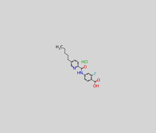 CCCCCc1ccc(C(=O)Nc2ccc(C(=O)O)c(F)c2)nc1.Cl